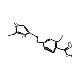 Cc1nc(CCc2ccc(C(=O)O)c(F)c2)cs1